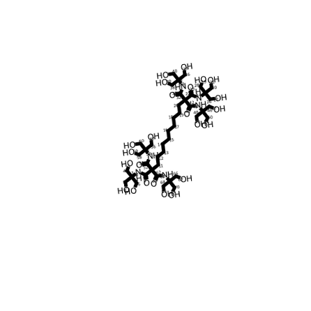 O=C(NC(CO)(CO)CO)C(CCCCCCCCCCC(C(=O)NC(CO)(CO)CO)(C(=O)NC(CO)(CO)CO)C(=O)NC(CO)(CO)CO)(C(=O)NC(CO)(CO)CO)C(=O)NC(CO)(CO)CO